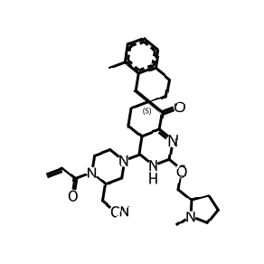 C=CC(=O)N1CCN(C2NC(OCC3CCCN3C)N=C3C(=O)[C@]4(CCc5cccc(C)c5C4)CCC32)CC1CC#N